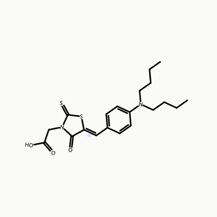 CCCCN(CCCC)c1ccc(/C=C2\SC(=S)N(CC(=O)O)C2=O)cc1